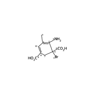 CC1=C(N)C(Br)(C(=O)O)CC(C(=O)O)=C1